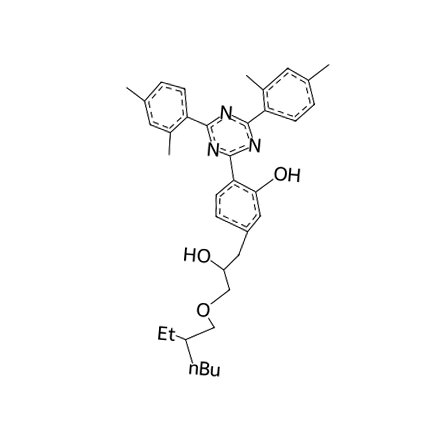 CCCCC(CC)COCC(O)Cc1ccc(-c2nc(-c3ccc(C)cc3C)nc(-c3ccc(C)cc3C)n2)c(O)c1